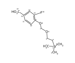 C[Si](C)(C)CCOCOc1ccc(C(=O)O)cc1F